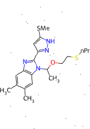 CCCSCCOC(C)n1c(-c2cc(SC)[nH]n2)nc2cc(C)c(C)cc21